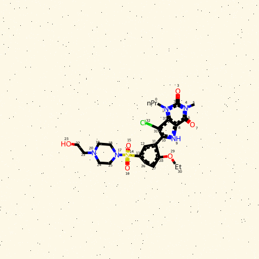 CCCn1c(=O)n(C)c(=O)c2[nH]c(-c3cc(S(=O)(=O)N4CCN(CCO)CC4)ccc3OCC)c(Cl)c21